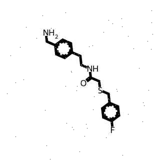 NCc1ccc(CCNC(=O)CSCc2ccc(F)cc2)cc1